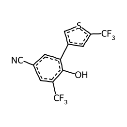 N#Cc1cc(-c2csc(C(F)(F)F)c2)c(O)c(C(F)(F)F)c1